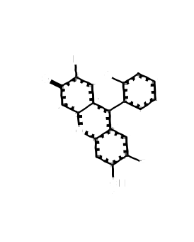 Cc1ccccc1-c1c2cc(F)c(=O)cc-2oc2cc(O)c(F)cc12